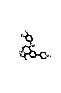 Cc1nnn2c1-c1ccc(C3=CCNCC3)cc1C(Nc1ccc(Cl)c(F)c1)CC2